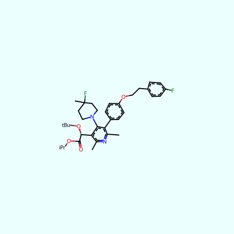 Cc1nc(C)c([C@H](OC(C)(C)C)C(=O)OC(C)C)c(N2CCC(C)(F)CC2)c1-c1ccc(OCCc2ccc(F)cc2)cc1